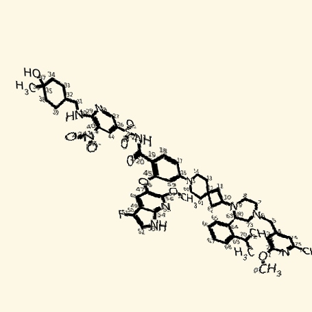 COc1cc(CN2CCN(C3CC4(CCN(c5ccc(C(=O)NS(=O)(=O)c6cnc(NCC7CCC(C)(O)CC7)c([N+](=O)[O-])c6)c(Oc6cc7c(F)c[nH]c7nc6OC)c5)CC4)C3)[C@H](c3ccccc3C(C)C)C2)cc(C)n1